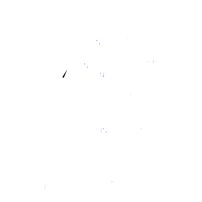 C[C@H]1C=C[C@H](C)N2CN1C(=O)c1c(O)c(=O)c(C(=O)NCc3ccc(F)cc3F)cn12